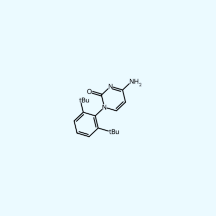 CC(C)(C)c1cccc(C(C)(C)C)c1-n1ccc(N)nc1=O